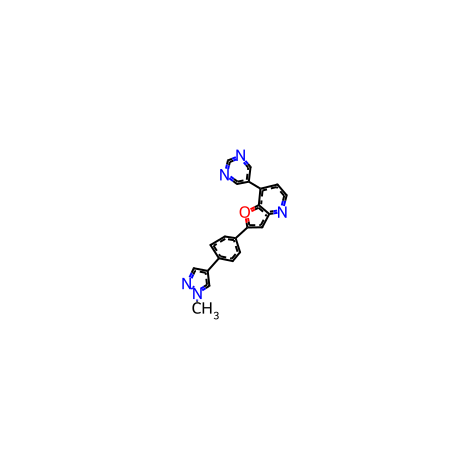 Cn1cc(-c2ccc(-c3cc4nccc(-c5cncnc5)c4o3)cc2)cn1